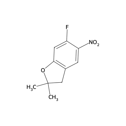 CC1(C)Cc2cc([N+](=O)[O-])c(F)cc2O1